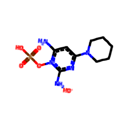 Nc1cc(N2CCCCC2)nc(N)[n+]1OS(=O)(=O)O.[OH-]